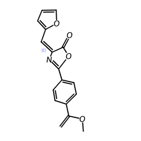 C=C(OC)c1ccc(C2=N/C(=C/c3ccco3)C(=O)O2)cc1